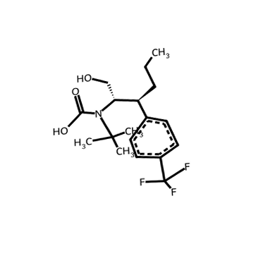 CCC[C@@H](c1ccc(C(F)(F)F)cc1)[C@@H](CO)N(C(=O)O)C(C)(C)C